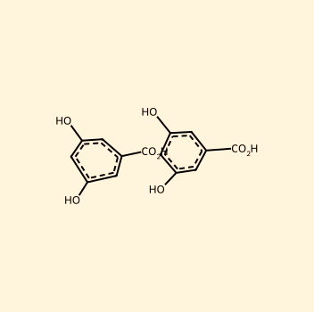 O=C(O)c1cc(O)cc(O)c1.O=C(O)c1cc(O)cc(O)c1